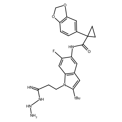 CC(C)(C)c1cc2cc(NC(=O)C3(c4ccc5c(c4)OCO5)CC3)c(F)cc2n1CCC(=N)NNN